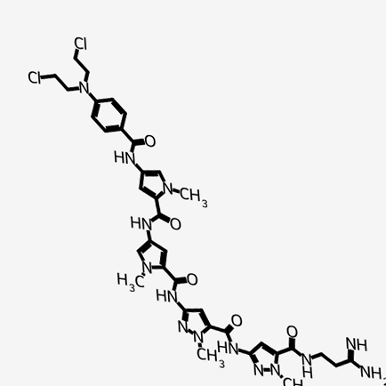 Cn1cc(NC(=O)c2ccc(N(CCCl)CCCl)cc2)cc1C(=O)Nc1cc(C(=O)Nc2cc(C(=O)Nc3cc(C(=O)NCCC(=N)N)n(C)n3)n(C)n2)n(C)c1